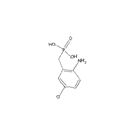 Nc1ccc(Cl)cc1CP(=O)(O)O